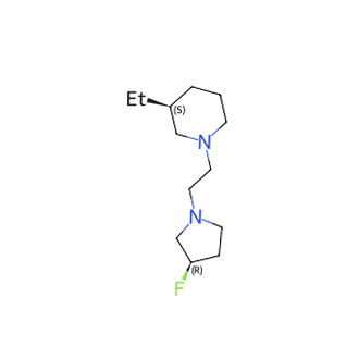 CC[C@H]1CCCN(CCN2CC[C@@H](F)C2)C1